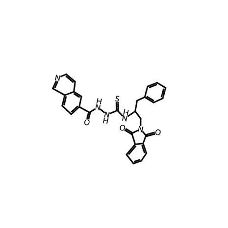 O=C(NNC(=S)NC(Cc1ccccc1)CN1C(=O)c2ccccc2C1=O)c1ccc2cnccc2c1